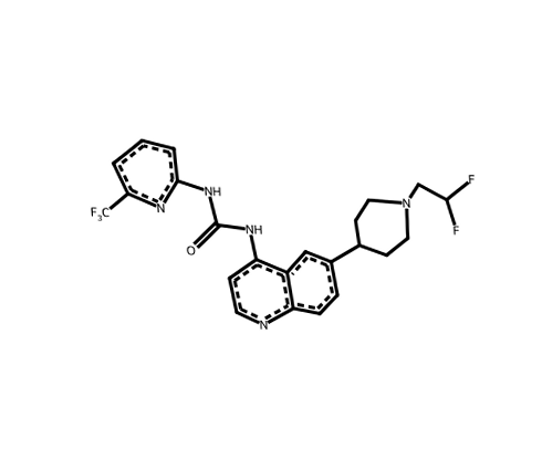 O=C(Nc1cccc(C(F)(F)F)n1)Nc1ccnc2ccc(C3CCN(CC(F)F)CC3)cc12